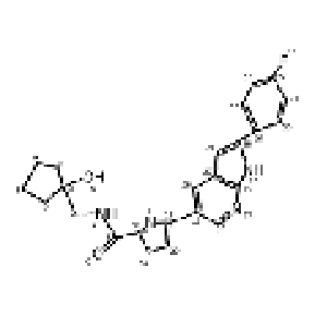 O=C(NCC1(O)CCCC1)c1nc(-c2cnc3[nH]c(-c4ccc(F)cc4)cc3c2)cs1